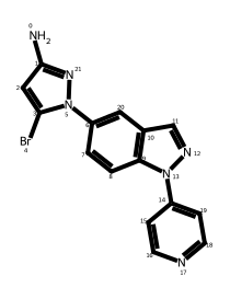 Nc1cc(Br)n(-c2ccc3c(cnn3-c3ccncc3)c2)n1